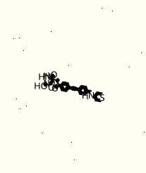 CNC(=O)C(C(=O)NO)N(C)C(=O)c1ccc(C#Cc2ccc(CNC3CCSCC3)cc2)cc1